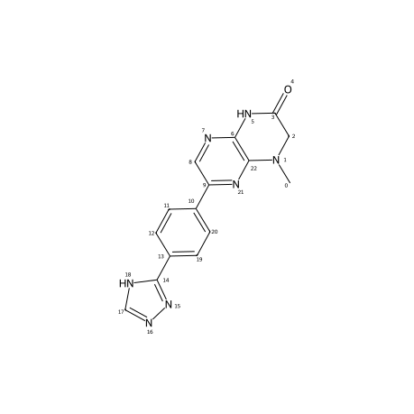 CN1CC(=O)Nc2ncc(-c3ccc(-c4nnc[nH]4)cc3)nc21